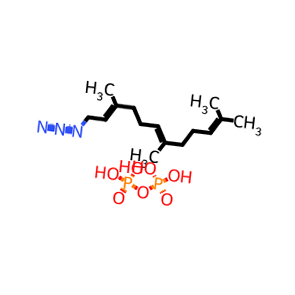 CC(C)=CCCC(C)=CCCC(C)=CCN=[N+]=[N-].O=P(O)(O)OP(=O)(O)O